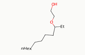 CCCCCCCCCCC(CC)OCCO